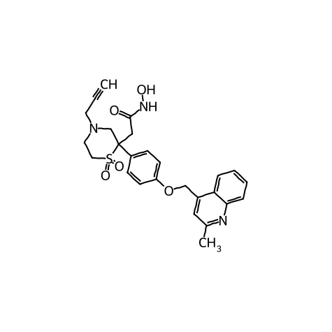 C#CCN1CCS(=O)(=O)C(CC(=O)NO)(c2ccc(OCc3cc(C)nc4ccccc34)cc2)C1